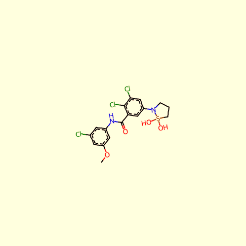 COc1cc(Cl)cc(NC(=O)c2cc(N3CCCS3(O)O)cc(Cl)c2Cl)c1